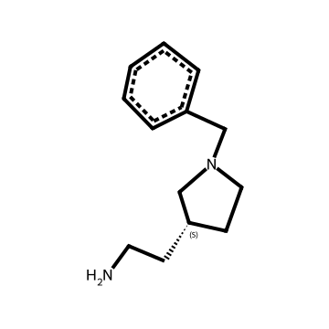 NCC[C@H]1CCN(Cc2ccccc2)C1